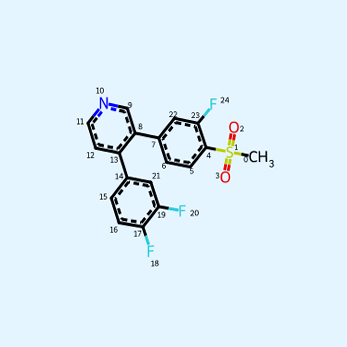 CS(=O)(=O)c1ccc(-c2cnccc2-c2ccc(F)c(F)c2)cc1F